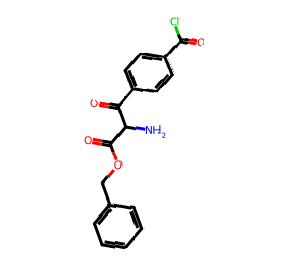 NC(C(=O)OCc1ccccc1)C(=O)c1ccc(C(=O)Cl)cc1